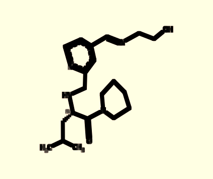 CC(C)C[C@H](NCc1cc(C=NCCO)ccn1)C(=O)N1CCCCC1